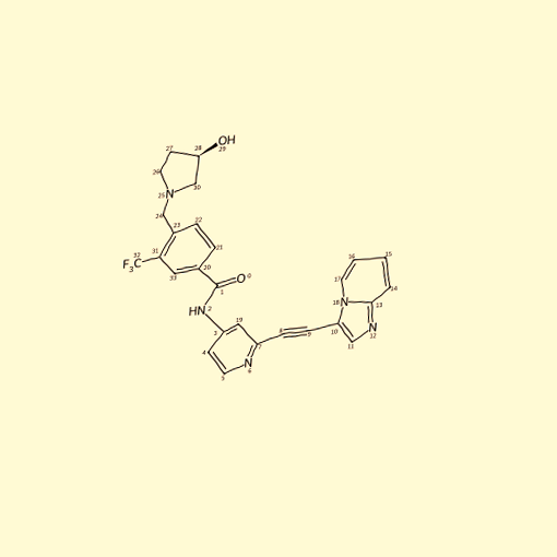 O=C(Nc1ccnc(C#Cc2cnc3ccccn23)c1)c1ccc(CN2CC[C@@H](O)C2)c(C(F)(F)F)c1